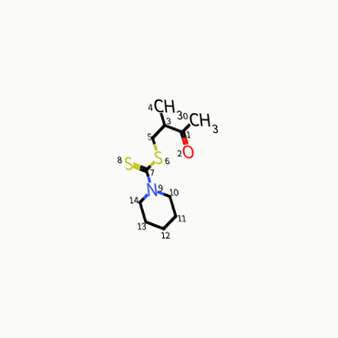 CC(=O)C(C)CSC(=S)N1CCCCC1